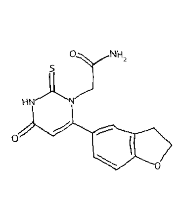 NC(=O)Cn1c(-c2ccc3c(c2)CCO3)cc(=O)[nH]c1=S